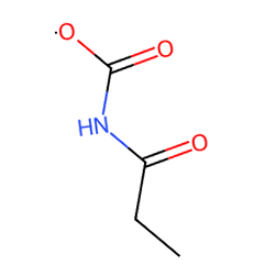 CCC(=O)NC([O])=O